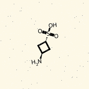 N[C@H]1C[C@H](S(=O)(=O)O)C1